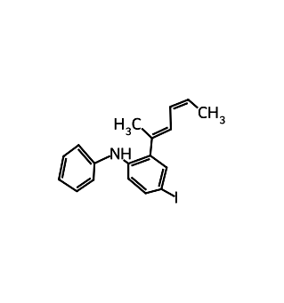 C/C=C\C=C(/C)c1cc(I)ccc1Nc1ccccc1